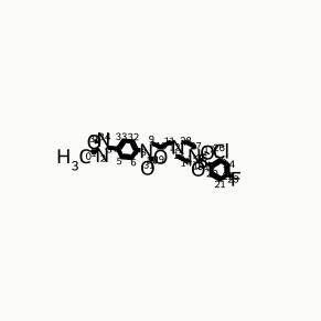 Cc1nc(-c2ccc(N3CC(CN4CCN(S(=O)(=O)c5ccc(F)cc5Cl)CC4)OC3=O)cc2)no1